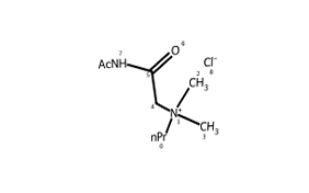 CCC[N+](C)(C)CC(=O)NC(C)=O.[Cl-]